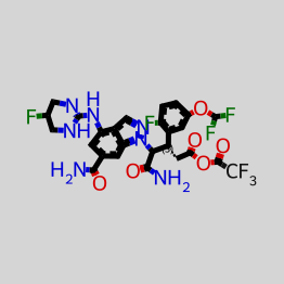 NC(=O)c1cc(NC2=NCC(F)CN2)c2cnn(C(C(N)=O)[C@@H](CC(=O)OC(=O)C(F)(F)F)c3cc(OC(F)F)ccc3F)c2c1